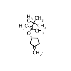 [CH2]N1CC[C@@H](O[Si](C)(C)C(C)(C)C)C1